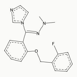 CN(C)N=C(c1ccccc1OCc1ccccc1F)n1ccnc1